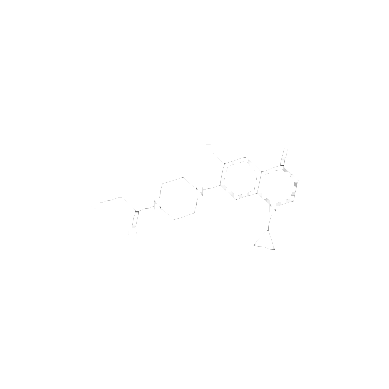 O=C(CCl)N1CCN(c2cc3c(cc2F)c(=O)ccn3C2CC2)CC1